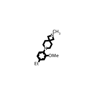 CCc1ccc(N2CCC3(CC2)CN(C)C3)c(OC)c1